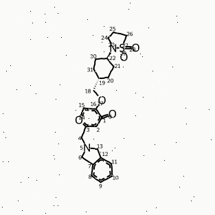 O=c1cc(CN2Cc3ccccc3C2)occ1OC[C@H]1CC[C@H](N2CCCS2(=O)=O)CC1